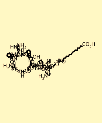 CCCC[C@H](NC(=O)[C@@H]1CCCN1C(=O)[C@H](CC(N)=O)NC(=O)[C@H](CC(N)=O)NC(=O)COCCOCCNC(=O)CCCCCCCCCCCCCCC(=O)O)C(=O)N[C@H]1CCC(=O)CCNCCCC[C@@H](C(N)=O)NC(=O)[C@H](Cc2c[nH]c3ccccc23)NC(=O)[C@H](CCCNC(=N)N)NC(=O)[C@@H](Cc2ccccc2)NC(=O)[C@@H]2C[C@@H](O)CN2C1=O